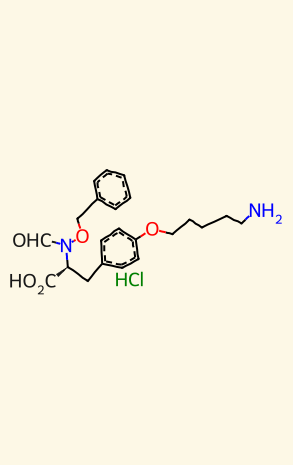 Cl.NCCCCCOc1ccc(C[C@@H](C(=O)O)N(C=O)OCc2ccccc2)cc1